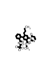 CCCCc1cc(-n2c(C)nccc2=O)c(C(=O)OCC)cc1-c1ccccc1-c1noc(C(Cl)(Cl)Cl)n1